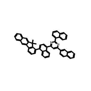 CC1(C)c2cc3ccccc3cc2-c2cccc(-c3ccc(-c4cc(-c5ccc6ccccc6c5)nc(-c5cccc6ccccc56)n4)c4ccccc34)c21